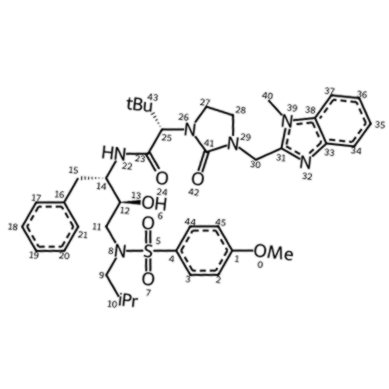 COc1ccc(S(=O)(=O)N(CC(C)C)C[C@H](O)[C@H](Cc2ccccc2)NC(=O)[C@@H](N2CCN(Cc3nc4ccccc4n3C)C2=O)C(C)(C)C)cc1